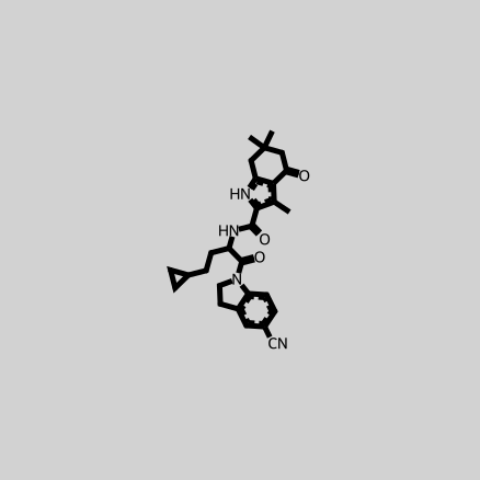 Cc1c(C(=O)NC(CCC2CC2)C(=O)N2CCc3cc(C#N)ccc32)[nH]c2c1C(=O)CC(C)(C)C2